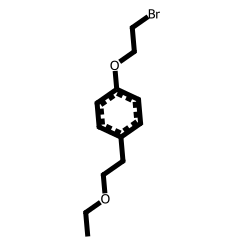 CCOCCc1ccc(OCCBr)cc1